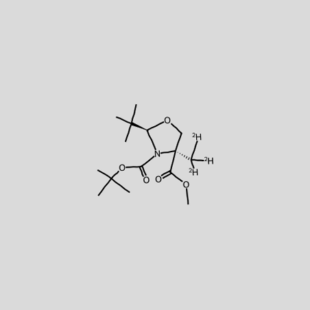 [2H]C([2H])([2H])[C@@]1(C(=O)OC)CO[C@H](C(C)(C)C)N1C(=O)OC(C)(C)C